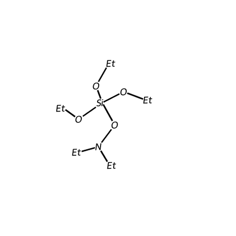 CCO[Si](OCC)(OCC)ON(CC)CC